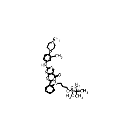 Cc1cc(Nc2ncc3c(=O)n4c(nc3n2)c2ccccc2n4CCCO[Si](C)(C)C(C)(C)C)ccc1N1CCN(C)CC1